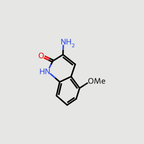 COc1cccc2[nH]c(=O)c(N)cc12